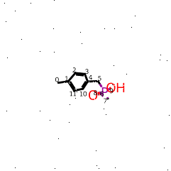 Cc1ccc(CP(C)(=O)O)cc1